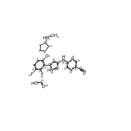 CN[C@@H]1CC[C@@H](Oc2ccc(F)c(F)c2-c2cc(Nc3cnc(C#N)cn3)n[nH]2)C1.O=CO